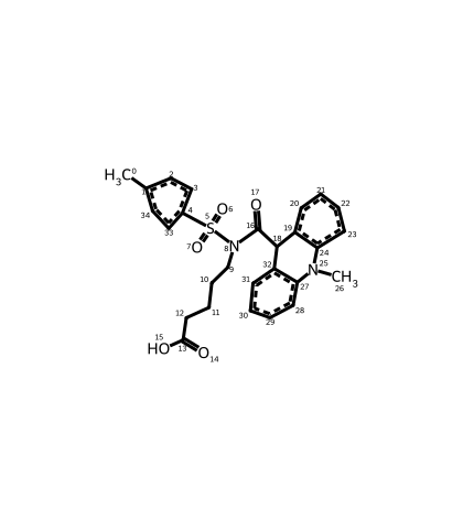 Cc1ccc(S(=O)(=O)N(CCCCC(=O)O)C(=O)C2c3ccccc3N(C)c3ccccc32)cc1